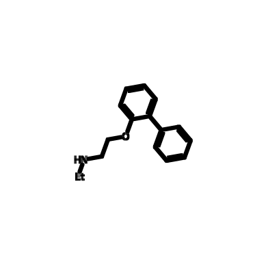 CCNCCOc1ccccc1-c1ccccc1